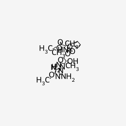 CCOc1nc(N)nc2c1ncn2[C@@H]1O[C@H](COP(=O)(N[C@@H](C)C(=O)OCC(C)C)Oc2ccccc2)[C@@H](O)[C@@]1(C)N